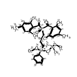 CCO[Si](C)(C)O[Si](CCCP(=O)(C(=O)c1c(C)cc(C)cc1C)C(=O)c1c(C)cc(C)cc1C)(OCC)c1ccccc1